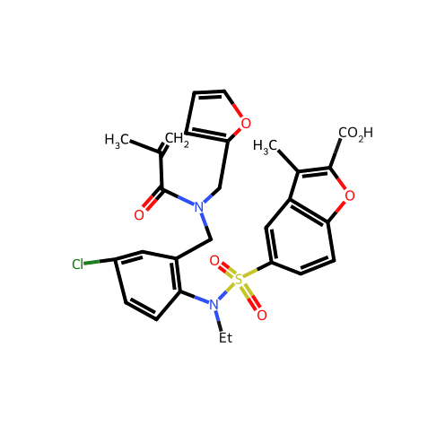 C=C(C)C(=O)N(Cc1ccco1)Cc1cc(Cl)ccc1N(CC)S(=O)(=O)c1ccc2oc(C(=O)O)c(C)c2c1